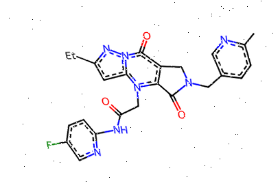 CCc1cc2n(CC(=O)Nc3ccc(F)cn3)c3c(c(=O)n2n1)CN(Cc1ccc(C)nc1)C3=O